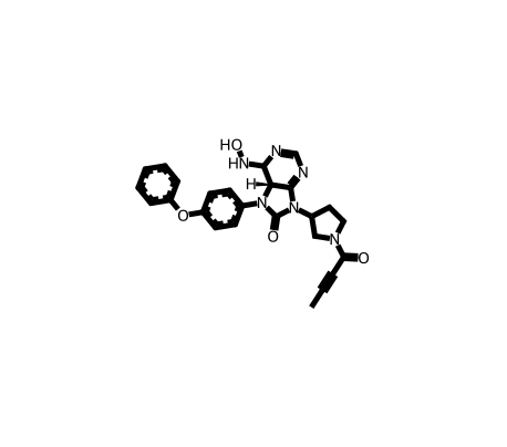 CC#CC(=O)N1CCC(N2C(=O)N(c3ccc(Oc4ccccc4)cc3)[C@H]3C2=NC=NC3NO)C1